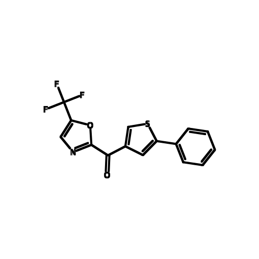 O=C(c1csc(-c2ccccc2)c1)c1ncc(C(F)(F)F)o1